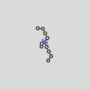 c1ccc(-c2cccc(-c3ccc(-c4ccc(-c5nc(-c6cccc(-c7ccc(-c8cccc(-c9ccccc9)c8)cc7)c6)nc6ccc7ccccc7c56)cc4)cc3)c2)cc1